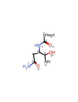 CCCCCCCC(=O)N[C@H](CC(N)=O)C(O)CCC